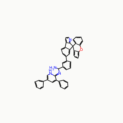 NC(/N=c1\[nH]cc(-c2ccccc2)cc1-c1ccccc1)c1cccc(-c2ccc3c(c2)C2(c4ccccc4Oc4ccccc42)c2ncccc2-3)c1